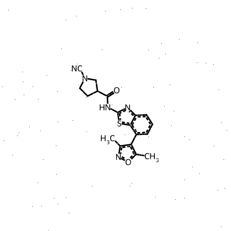 Cc1noc(C)c1-c1cccc2nc(NC(=O)C3CCN(C#N)C3)sc12